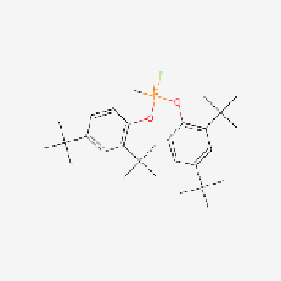 CC(C)(C)c1ccc(O[PH](C)(F)Oc2ccc(C(C)(C)C)cc2C(C)(C)C)c(C(C)(C)C)c1